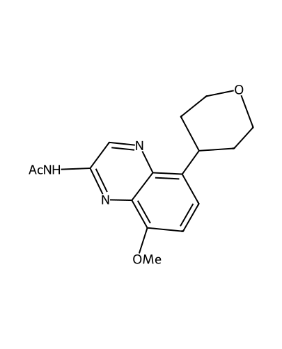 COc1ccc(C2CCOCC2)c2ncc(NC(C)=O)nc12